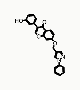 O=c1c(-c2cccc(O)c2)coc2cc(OCc3cnn(-c4ccccc4)c3)ccc12